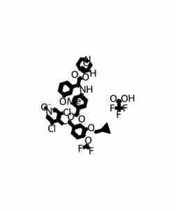 COc1cccc(C(Nc2ccc(C(=O)O[C@@H](Cc3c(Cl)c[n+]([O-])cc3Cl)c3ccc(OC(F)F)c(OCC4CC4)c3)cc2)C(=O)O[C@H]2CN3CCC2CC3)c1.O=C(O)C(F)(F)F